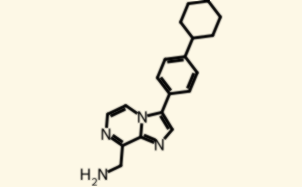 NCc1nccn2c(-c3ccc(C4CCCCC4)cc3)cnc12